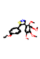 CCCOc1ccc(-c2sncc2-c2cc(OC)c(OC)c(OC)c2OC)cc1